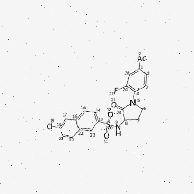 CC(=O)c1ccc(N2CCC(NS(=O)(=O)c3ccc4cc(Cl)ccc4c3)C2=O)c(F)c1